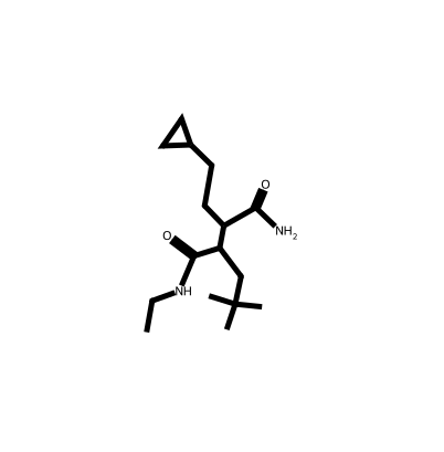 CCNC(=O)C(CC(C)(C)C)C(CCC1CC1)C(N)=O